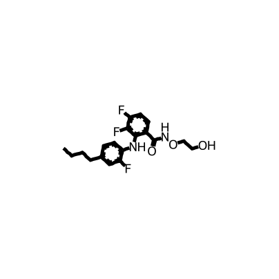 CCCCc1ccc(Nc2c(C(=O)NOCCO)ccc(F)c2F)c(F)c1